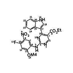 CCOC(=O)c1cnc(Nc2cc([N+](=O)[O-])c(F)cc2OC)nc1-c1c[nH]c2ccccc12